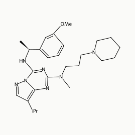 COc1cccc([C@H](C)Nc2nc(N(C)CCCN3CCCCC3)nc3c(C(C)C)cnn23)c1